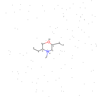 CCC1CN(C)C(CC)CO1